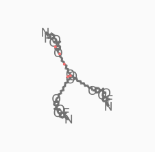 C=C(C(=O)Oc1ccc(C#N)c(F)c1)c1ccc(OCCCCCCCCCCOC(CC)(OCCCCCCCCCCOc2ccc(C(=C)C(=O)Oc3ccc(C#N)c(F)c3)cc2)OCCCCCCCCCCOc2ccc(C(=C)C(=O)Oc3ccc(C#N)c(F)c3)cc2)cc1